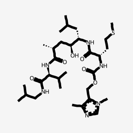 CSCC[C@H](NC(=O)OCc1c(C)ncn1C)C(=O)N[C@@H](CC(C)C)[C@@H](O)C[C@@H](C)C(=O)N[C@H](C(=O)NCC(C)C)C(C)C